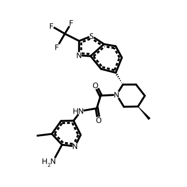 Cc1cc(NC(=O)C(=O)N2C[C@H](C)CC[C@H]2c2ccc3sc(C(F)(F)F)nc3c2)cnc1N